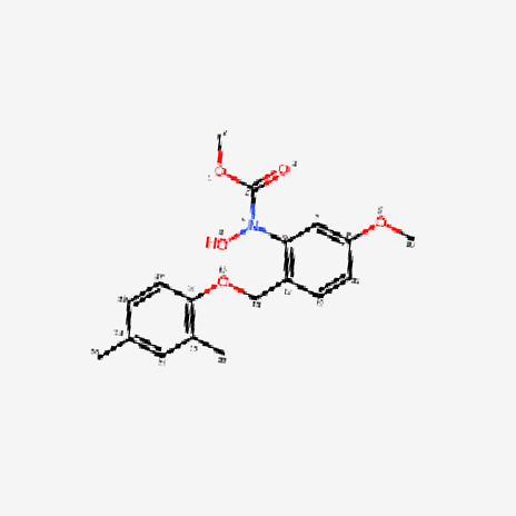 COC(=O)N(O)c1cc(OC)ccc1COc1ccc(C)cc1C